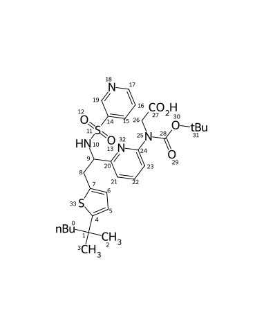 CCCCC(C)(C)c1ccc(CC(NS(=O)(=O)c2cccnc2)c2cccc(N(CC(=O)O)C(=O)OC(C)(C)C)n2)s1